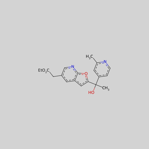 CCOC(=O)Cc1cnc2oc(C(C)(O)c3ccnc(C)c3)cc2c1